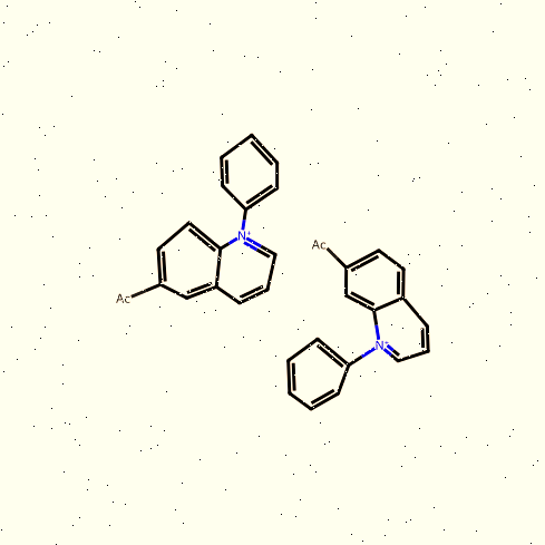 CC(=O)c1ccc2c(ccc[n+]2-c2ccccc2)c1.CC(=O)c1ccc2ccc[n+](-c3ccccc3)c2c1